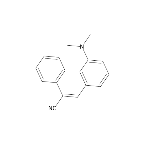 CN(C)c1cccc(C=C(C#N)c2ccccc2)c1